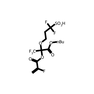 C=C(F)C(=O)OC(OCCC(F)(F)S(=O)(=O)O)(C(=O)OCCCC)C(F)(F)F